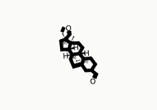 CC[C@@]1(C=O)CC[C@H]2[C@@H]3CC=C4CC(C=O)CC[C@]4(C)[C@H]3CC[C@@]21C